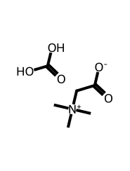 C[N+](C)(C)CC(=O)[O-].O=C(O)O